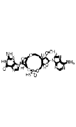 CO[C@@H]1[C@@H]2CCOC3O[C@@H](n4cnc5c(=O)[nH]c(N)nc54)[C@H](OP(=O)(S)OC[C@H]2O[C@H]1n1cnc2c(N)ncnc21)[C@@H]3F